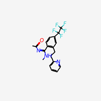 CN/C(=N/C(C)=O)c1ccc(C(F)(F)C(F)(F)F)cc1CCc1ccccn1